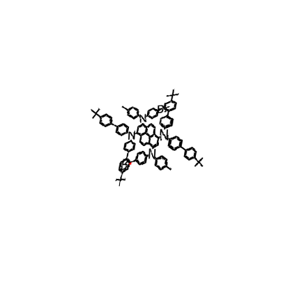 Cc1ccc(N(c2ccc(Br)cc2)c2cc(N(c3ccc(-c4ccc(C(C)(C)C)cc4)cc3)c3ccc(-c4ccc(C(C)(C)C)cc4)cc3)c3ccc4c(N(c5ccc(C)cc5)c5ccc(Br)cc5)cc(N(c5ccc(-c6ccc(C(C)(C)C)cc6)cc5)c5ccc(-c6ccc(C(C)(C)C)cc6)cc5)c5ccc2c3c45)cc1